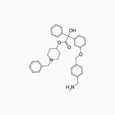 NCc1ccc(COc2cccc(C(O)(C(=O)OC3CCN(Cc4ccccc4)CC3)c3ccccc3)c2)cc1